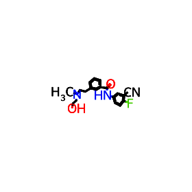 CN(CCO)CCc1cccc(C(=O)Nc2ccc(F)c(C#N)c2)c1